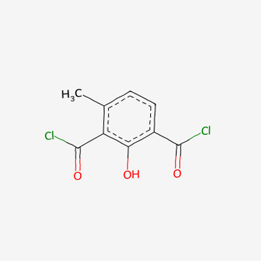 Cc1ccc(C(=O)Cl)c(O)c1C(=O)Cl